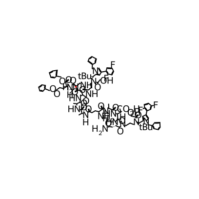 CC(NC(=O)CCC(N)C(=O)NC(C)C(=O)NC(CC(=O)O)C(=O)N[C@@H](CC(N)=O)C(=O)NCCCN(C(=O)CO)[C@@H](c1cc(-c2cc(F)ccc2F)cn1Cc1ccccc1)C(C)(C)C)C(=O)NC(C)C(=O)NC(CC(N)=O)C(=O)NC(CCN(C(=O)CO)[C@@H](c1cc(-c2cc(F)ccc2F)cn1Cc1ccccc1)C(C)(C)C)C(=O)NCCC(=O)NC(CCC(=O)OCc1ccccc1)C(=O)OCc1ccccc1